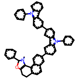 CN1C2=C(CCc3ccc4cc(-c5ccc6c(c5)c5cc(-c7ccc8c(c7)c7ccccc7n8-c7ccccc7)ccc5n6-c5ccccc5)ccc4c32)OC1c1ccccc1